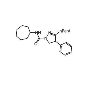 CCCCCC1=NN(C(=O)NC2CCCCCC2)CC1c1ccccc1